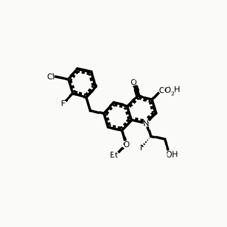 CCOc1cc(Cc2cccc(Cl)c2F)cc2c(=O)c(C(=O)O)cn([C@@H](I)CO)c12